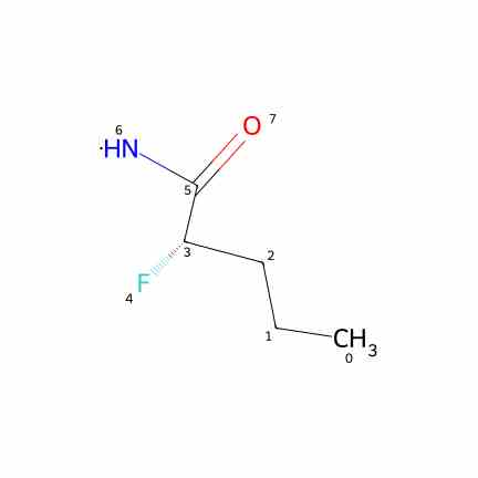 CCC[C@H](F)C([NH])=O